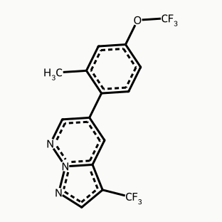 Cc1cc(OC(F)(F)F)ccc1-c1cnn2ncc(C(F)(F)F)c2c1